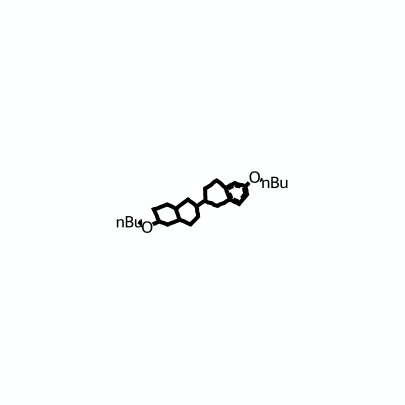 CCCCOc1ccc2c(c1)CCC(C1CCC3CC(OCCCC)CCC3C1)C2